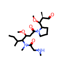 CCC(C)C(C(CC(=O)N1CCCC1C(OC)[C@@H](C)C=O)OC)N(C)C(=O)CNC